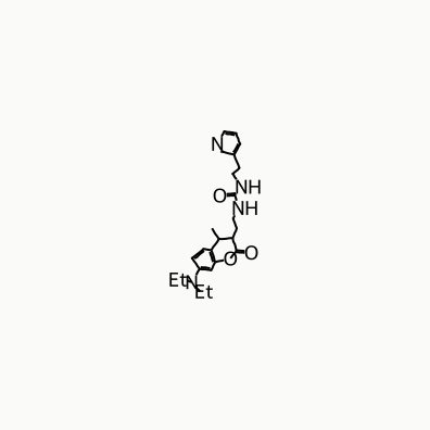 CCN(CC)c1ccc2c(c1)OC(=O)C(CCNC(=O)NCCc1cccnc1)C2C